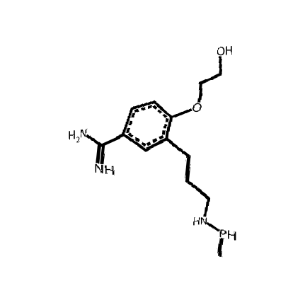 CPNCCCc1cc(C(=N)N)ccc1OCCO